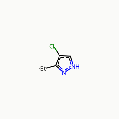 C[CH]c1n[nH]cc1Cl